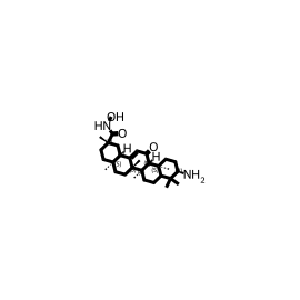 CC1(C)C2CC[C@]3(C)[C@H](C(=O)C=C4[C@@H]5C[C@@](C)(C(=O)NO)CC[C@]5(C)CC[C@]43C)[C@@]2(C)CC[C@H]1N